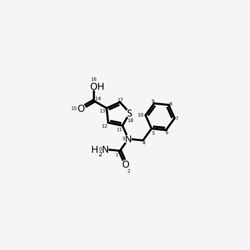 NC(=O)N(Cc1ccccc1)c1cc(C(=O)O)cs1